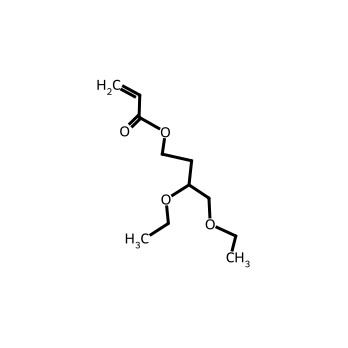 C=CC(=O)OCCC(COCC)OCC